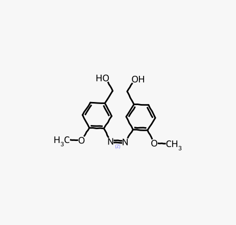 COc1ccc(CO)cc1/N=N\c1cc(CO)ccc1OC